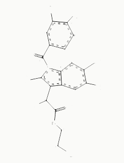 Cc1c(C(C)C(=O)NCCO)c2cc(O)c(F)cc2n1C(=O)c1ccc(Cl)c(F)c1